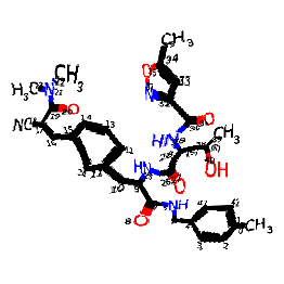 Cc1ccc(CNC(=O)C(Cc2cccc(C=C(C#N)C(=O)N(C)C)c2)NC(=O)[C@@H](NC(=O)c2cc(C)on2)[C@@H](C)O)cc1